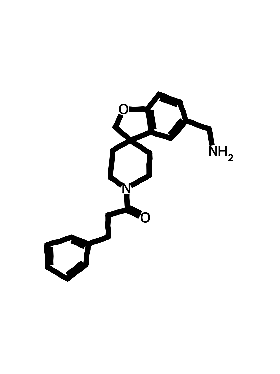 NCc1ccc2c(c1)C1(CCN(C(=O)CCc3ccccc3)CC1)CO2